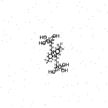 CC(C)(C)c1ccc2c(c1)N(CCCC[N+](CCO)(CCO)CCO)c1ccc(C(C)(C)C)cc1N2CCCC[N+](CCO)(CCO)CCO